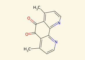 Cc1ccnc2c1C(=O)C(=O)c1c(C)ccnc1-2